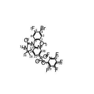 COc1cc(Br)c(F)cc1N(C(=O)N(C)C(C)(C)C)c1ccc(S(=O)(=O)Oc2c(F)c(F)c(F)c(F)c2F)cn1